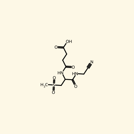 CS(=O)(=O)CC(NC(=O)CCC(=O)O)C(=O)NCC#N